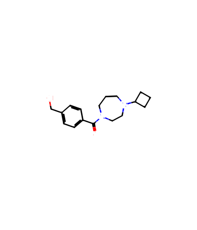 O=C(c1ccc(CO)cc1)N1CCCN(C2CCC2)CC1